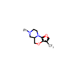 CC(C)N1CCN2c3occ(C(F)(F)F)c3OCC2C1